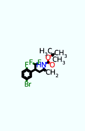 C=C(CC(c1cc(Br)ccc1F)C(F)F)NC(=O)OC(C)(C)C